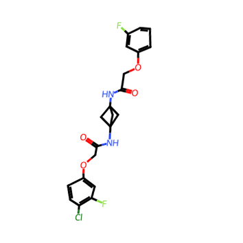 O=C(COc1cccc(F)c1)NC12CC(NC(=O)COc3ccc(Cl)c(F)c3)(C1)C2